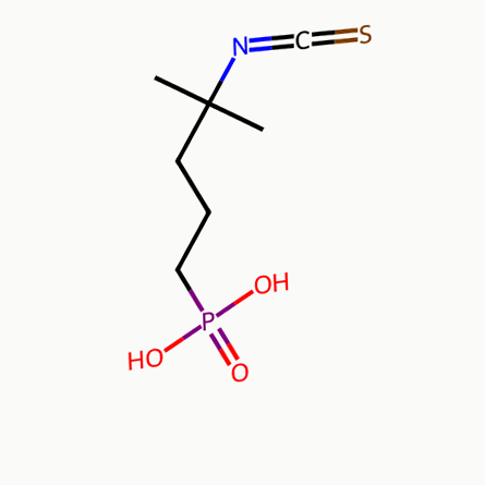 CC(C)(CCCP(=O)(O)O)N=C=S